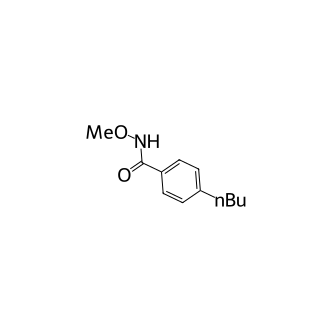 CCCCc1ccc(C(=O)NOC)cc1